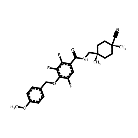 COc1ccc(COc2c(F)cc(C(=O)NC[C@]3(C)CC[C@](C)(C#N)CC3)c(F)c2F)cc1